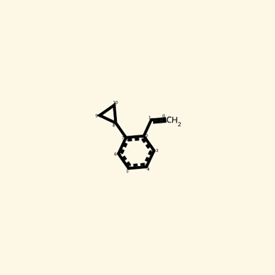 C=Cc1[c]cccc1C1CC1